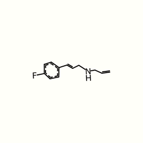 C=CCNCC=Cc1ccc(F)cc1